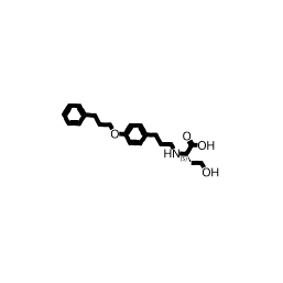 O=C(O)[C@H](CCO)NCCCc1ccc(OCCCc2ccccc2)cc1